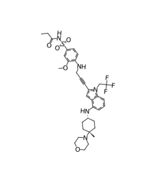 CCC(=O)NS(=O)(=O)c1ccc(NCC#Cc2cc3c(N[C@H]4CC[C@@](C)(N5CCOCC5)CC4)cccc3n2CC(F)(F)F)c(OC)c1